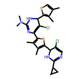 Cc1csc(C2NC(N(C)C)=NC(c3sc(C4NC(C5CC5)=NC=C4Cl)c(C)c3C)=C2Cl)c1C